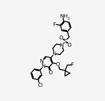 Nc1ccc(CS(=O)(=O)N2CCN(c3cnn(-c4cccc(Cl)c4)c(=O)c3OCC3(CF)CC3)CC2)cc1F